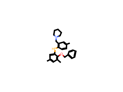 Cc1ccc(Pc2cc(C)cc(C)c2OCc2ccccc2)c(CN2CCCCC2)c1